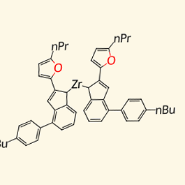 CCCCc1ccc(-c2cccc3c2C=C(c2ccc(CCC)o2)[CH]3[Zr][CH]2C(c3ccc(CCC)o3)=Cc3c(-c4ccc(CCCC)cc4)cccc32)cc1